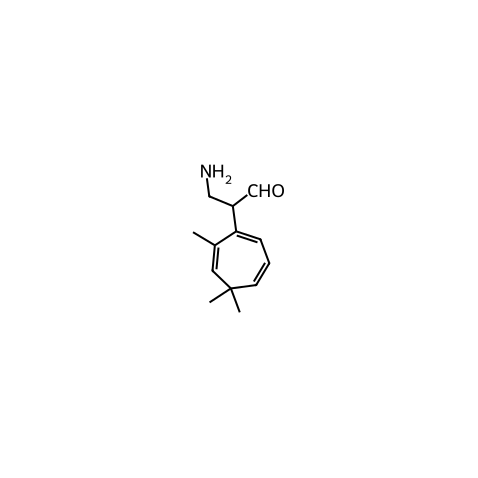 CC1=CC(C)(C)C=CC=C1C(C=O)CN